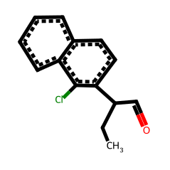 CCC(C=O)c1ccc2ccccc2c1Cl